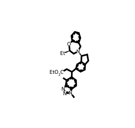 CCOC(=O)CC(c1ccc2c(c1)[C@@H](N1Cc3ccccc3O[C@H](CC)C1)CC2)c1ccc2c(nnn2C)c1C